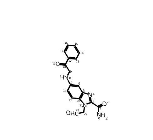 NC(=O)c1nc2cc(NCC(=O)c3ccccc3)ccc2n1CC=O